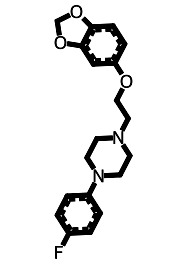 Fc1ccc(N2CCN(CCOc3ccc4c(c3)OCO4)CC2)cc1